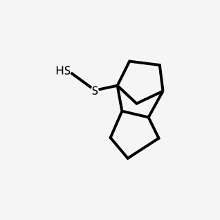 SSC12CCC(C1)C1CCCC12